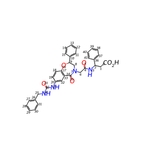 O=C(O)CC(NC(=O)CN1CC(c2ccccc2)Oc2ccc(NC(=O)NCc3ccccc3)cc2C1=O)c1ccccc1